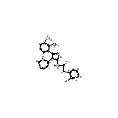 Cc1cccc(-c2noc(NC(=O)Cc3ccccc3F)c2-c2ccncn2)c1C